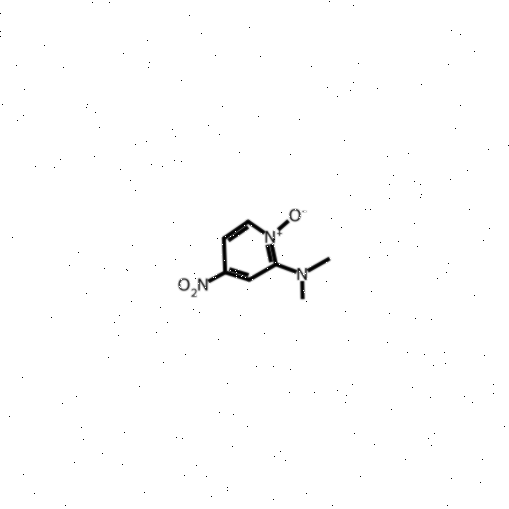 CN(C)c1cc([N+](=O)[O-])cc[n+]1[O-]